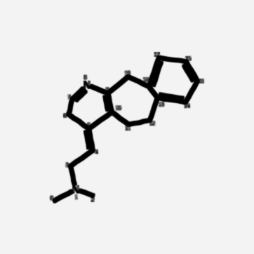 CN(C)CC=C1CC=NC2=C1CCc1ccccc1C2